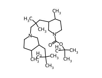 CC1CCN(CC(C)(C)CC2CN(C(=O)OC(C)(C)C)CCC2C)CC1CC(C)(C)C